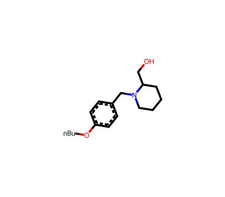 CCCCOc1ccc(CN2CCCCC2CO)cc1